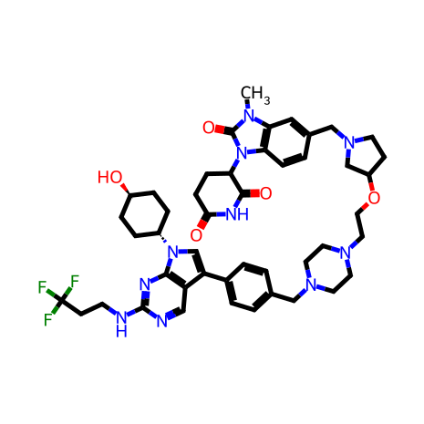 Cn1c(=O)n(C2CCC(=O)NC2=O)c2ccc(CN3CCC(OCCN4CCN(Cc5ccc(-c6cn([C@H]7CC[C@H](O)CC7)c7nc(NCCC(F)(F)F)ncc67)cc5)CC4)C3)cc21